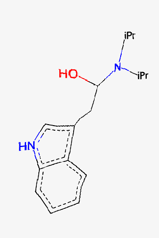 CC(C)N(C(C)C)C(O)Cc1c[nH]c2ccccc12